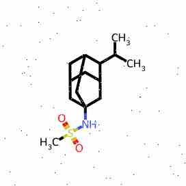 CC(C)C1C2CC3CC1CC(NS(C)(=O)=O)(C3)C2